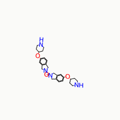 c1cc2c(cc1OC1CCNCC1)CN(ON1Cc3ccc(OC4CCNCC4)cc3C1)C2